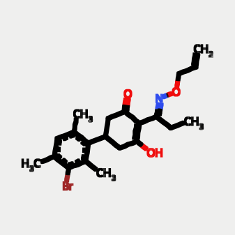 C=CCON=C(CC)C1=C(O)CC(c2c(C)cc(C)c(Br)c2C)CC1=O